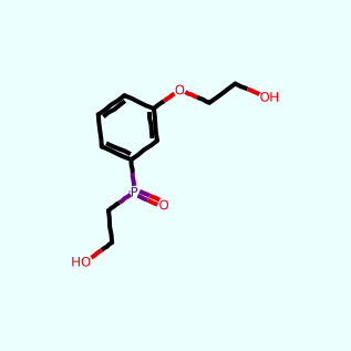 O=[P](CCO)c1cccc(OCCO)c1